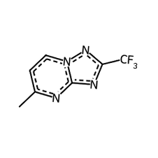 Cc1ccn2nc(C(F)(F)F)nc2n1